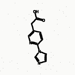 O=C(O)Cc1ccc(-n2ccnc2)nc1